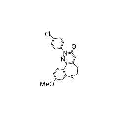 COc1ccc2c(c1)SCCc1cc(=O)n(-c3ccc(Cl)cc3)nc1-2